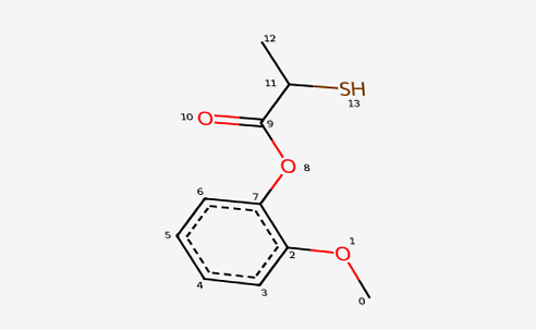 COc1ccccc1OC(=O)C(C)S